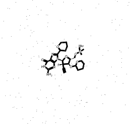 C#C[C@@]1(F)[C@H](OC2CCCCO2)[C@@H](CO[Si](C)(C)C(C)(C)C)O[C@@H]1n1c(C2CCCCO2)nc2c(=O)[nH]c(N)nc21